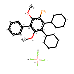 COc1c(P)c(C2CCCCC2)c(C2CCCCC2)c(OC)c1-c1ccccc1.F[B-](F)(F)F